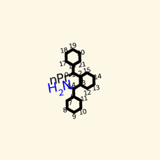 CCCC(C1=C(C(N)C2CCCCC2)CCCC1)C1CCCCC1